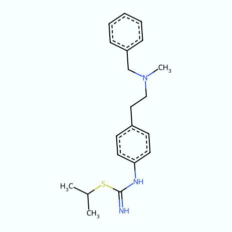 CC(C)SC(=N)Nc1ccc(CCN(C)Cc2ccccc2)cc1